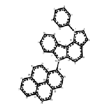 c1ccc(-n2ccc3ccc4c(c5ccccc5n4-c4ccc5ccc6cccc7ccc4c5c67)c32)cc1